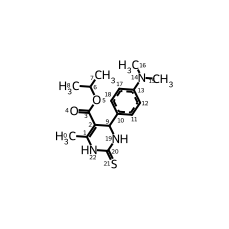 CC1=C(C(=O)OC(C)C)C(c2ccc(N(C)C)cc2)NC(=S)N1